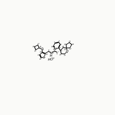 Cl.c1ccc([C@]2(CCNCc3sccc3OC3CCC3)CCOC3(CCCC3)C2)nc1